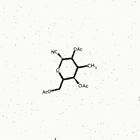 CC(=O)OCC1O[C@@H](C#N)C(OC(C)=O)C(C)[C@H]1OC(C)=O